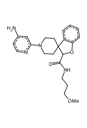 COCCCNC(=O)C1Oc2ccccc2C12CCN(c1cc(N)ccn1)CC2